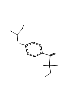 CCC(C)Oc1ccc(C(=O)C(C)(C)CC)cc1